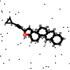 C(#CC1CC1)c1cc2c(ccc3c4cc5ccccc5cc4ccc23)o1